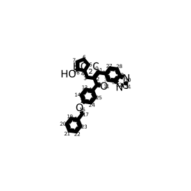 O=C(O)C(=C(CC1CCCC1O)C(=O)c1ccc(OCc2ccccc2)cc1)c1ccc2nsnc2c1